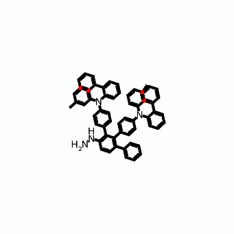 Cc1cccc(N(c2ccc(-c3c(NN)ccc(-c4ccccc4)c3-c3ccc(N(c4cccc(C)c4)c4ccccc4-c4ccccc4)cc3)cc2)c2ccccc2-c2ccccc2)c1